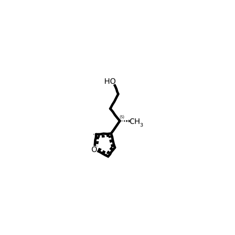 C[C@@H](CCO)c1[c]occ1